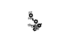 Cc1ccc(S(=O)(=O)N2CCC[C@H]2C(=O)OC(C)(C)C)c(O[C@@H]2CCC[C@H](CCNC3CCC(F)(F)CC3)C2)c1